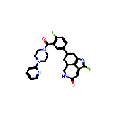 O=C1C=C2C(F)=NC3=C2C(CN1)CC(c1ccc(F)c(C(=O)N2CCN(c4ccccn4)CC2)c1)C3